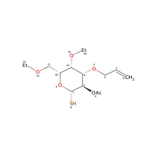 C=CCO[C@@H]1[C@@H](OC(C)=O)[C@H](S)O[C@H](COCC)[C@@H]1OCC